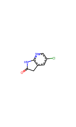 O=C1Cc2cc(Cl)cnc2N1